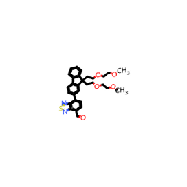 COCCOCCC1(CCOCCOC)c2ccccc2-c2ccc(-c3ccc(C=O)c4nsnc34)cc21